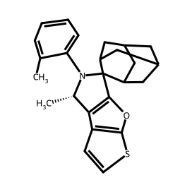 Cc1ccccc1N1[C@@H](C)c2c(oc3sccc23)C12C1CC3CC(C1)CC2C3